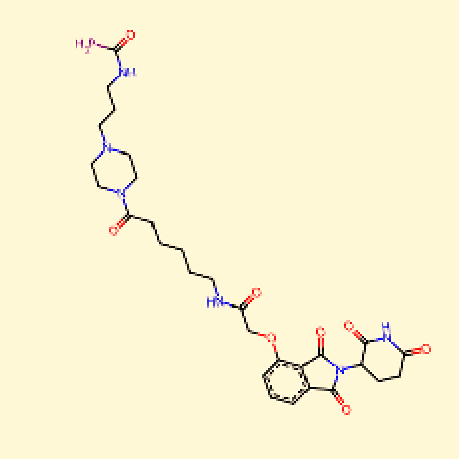 O=C(P)NCCCN1CCN(C(=O)CCCCCNC(=O)COc2cccc3c2C(=O)N(C2CCC(=O)NC2=O)C3=O)CC1